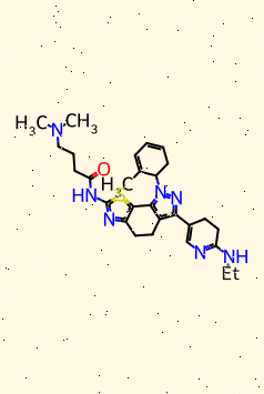 CCNC1=NC=C(c2nn(C3CC=CC=C3C)c3c2CCc2nc(NC(=O)CCCN(C)C)sc2-3)CC1